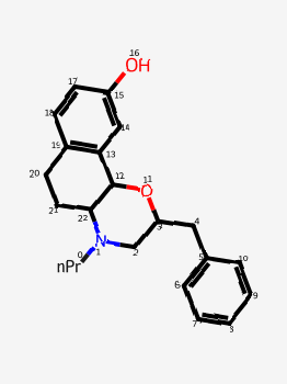 CCCN1CC(Cc2ccccc2)OC2c3cc(O)ccc3CCC21